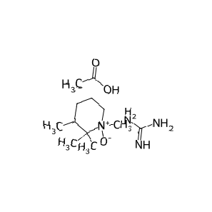 CC(=O)O.CC1CCC[N+](C)([O-])C1(C)C.N=C(N)N